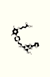 Nc1nc(NCCN2CCN(c3cc(OCCCC(=O)O)c(F)cc3F)CC2)nc2nc(-c3ccco3)nn12